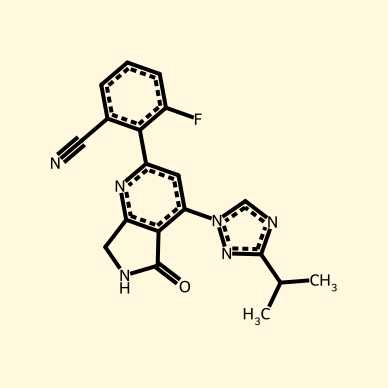 CC(C)c1ncn(-c2cc(-c3c(F)cccc3C#N)nc3c2C(=O)NC3)n1